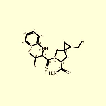 CC[C@@H]1CC12C[C@@H](C(N)=O)N(C(=O)C(Nc1ccccn1)C(C)C)C2